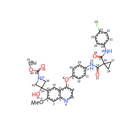 COc1cc2nccc(Oc3ccc(NC(=O)C4(C(=O)Nc5ccc(F)cc5)CC4)cc3)c2cc1C1(O)CN(C(=O)OC(C)(C)C)C1